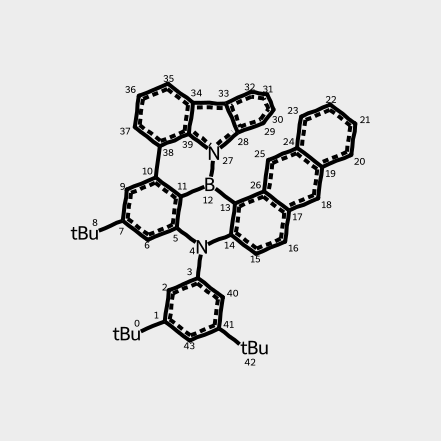 CC(C)(C)c1cc(N2c3cc(C(C)(C)C)cc4c3B(c3c2ccc2cc5ccccc5cc32)n2c3ccccc3c3cccc-4c32)cc(C(C)(C)C)c1